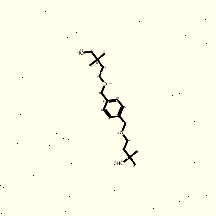 CC(C)(C=O)CCOCc1ccc(COCCC(C)(C)CO)cc1